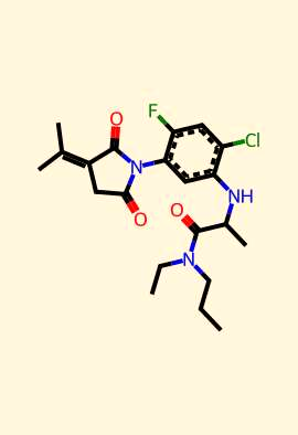 CCCN(CC)C(=O)C(C)Nc1cc(N2C(=O)CC(=C(C)C)C2=O)c(F)cc1Cl